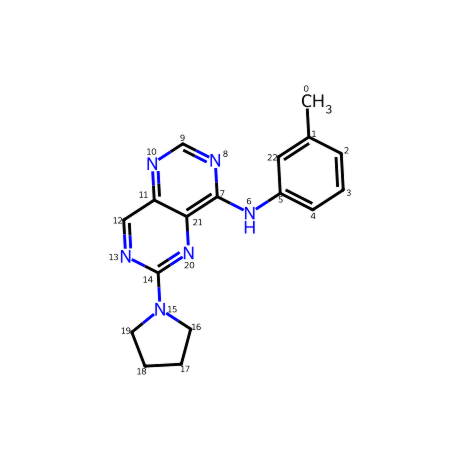 Cc1cccc(Nc2ncnc3cnc(N4CCCC4)nc23)c1